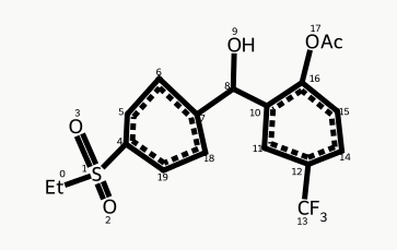 CCS(=O)(=O)c1ccc(C(O)c2cc(C(F)(F)F)ccc2OC(C)=O)cc1